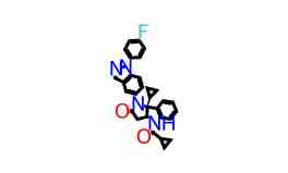 O=C(N[C@H]1CC(=O)N(c2ccc3c(cnn3-c3ccc(F)cc3)c2)[C@@]1(c1ccccc1)C1CC1)C1CC1